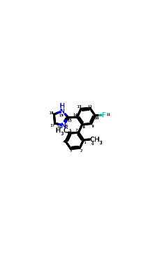 Cc1cccc(C)c1-c1cc(F)ccc1C1=NCCN1